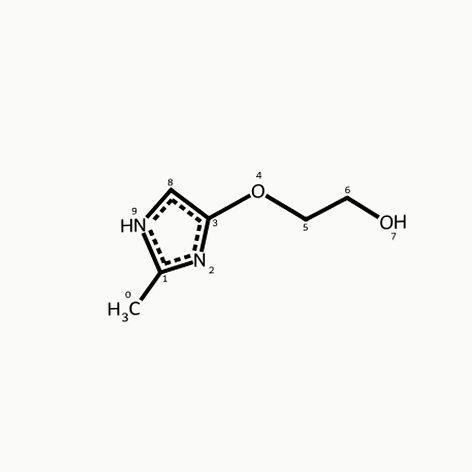 Cc1nc(OCCO)c[nH]1